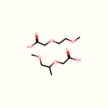 COCC(C)OCC(=O)O.COCCOCC(=O)O